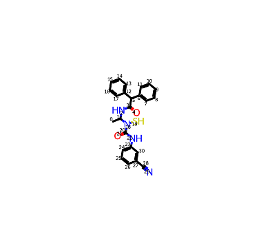 CC(NC(=O)C(c1ccccc1)c1ccccc1)N(S)C(=O)Nc1cccc(C#N)c1